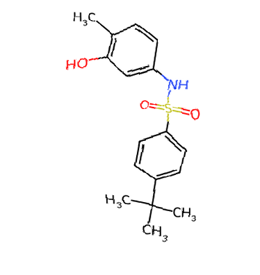 Cc1ccc(NS(=O)(=O)c2ccc(C(C)(C)C)cc2)cc1O